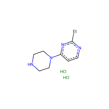 CCc1nccc(N2CCNCC2)n1.Cl.Cl